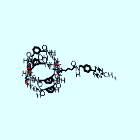 Cc1nnc(-c2ccc(CNC(=O)CCCCCN3CCN4CCNC(=O)c5cccc(c5O)C(=O)NCCN(CCNC(=O)c5cccc(c5O)C3=O)CCN3CCNC(=O)c5cccc(c5O)C(=O)NCCN(CCNC(=O)c5cccc(c5O)C(=O)NCC3)CC4)cc2)nn1